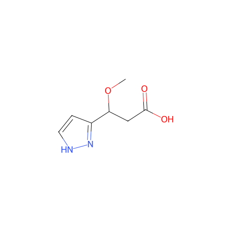 COC(CC(=O)O)c1cc[nH]n1